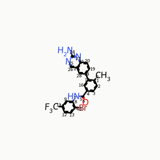 Cc1ccc(C(=O)Nc2cc(C(F)(F)F)ccc2Br)cc1-c1ccc2nc(N)ncc2c1